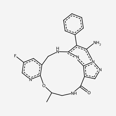 CC1CNC(=O)c2cnn3c(N)c(-c4ccccc4)c(nc23)NCc2cc(F)cnc2O1